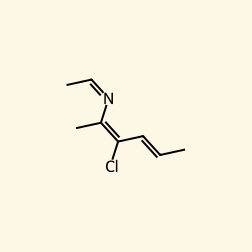 C\C=N/C(C)=C(Cl)\C=C\C